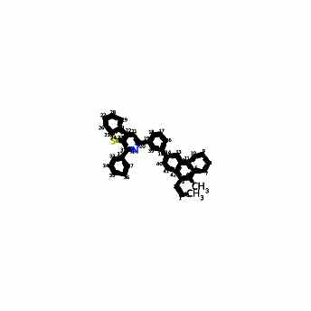 C/C=C\c1c(C)c2ccccc2c2cc(-c3cccc(-c4cc5c(sc6ccccc65)c(-c5ccccc5)n4)c3)ccc12